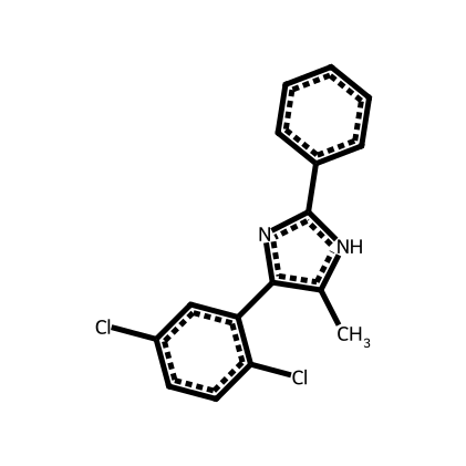 Cc1[nH]c(-c2ccccc2)nc1-c1cc(Cl)ccc1Cl